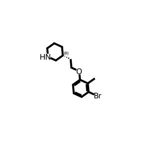 Cc1c(Br)cccc1OCC[C@H]1CCCNC1